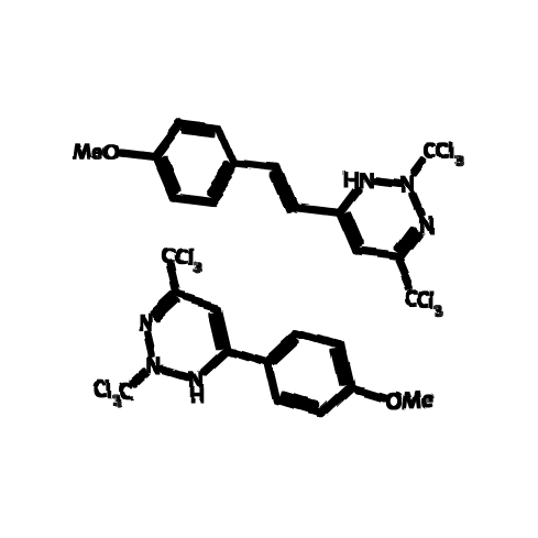 COc1ccc(C2=CC(C(Cl)(Cl)Cl)=NN(C(Cl)(Cl)Cl)N2)cc1.COc1ccc(C=CC2=CC(C(Cl)(Cl)Cl)=NN(C(Cl)(Cl)Cl)N2)cc1